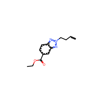 C=CCCn1nc2ccc(C(=O)OCC)cc2n1